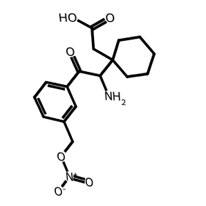 NC(C(=O)c1cccc(CO[N+](=O)[O-])c1)C1(CC(=O)O)CCCCC1